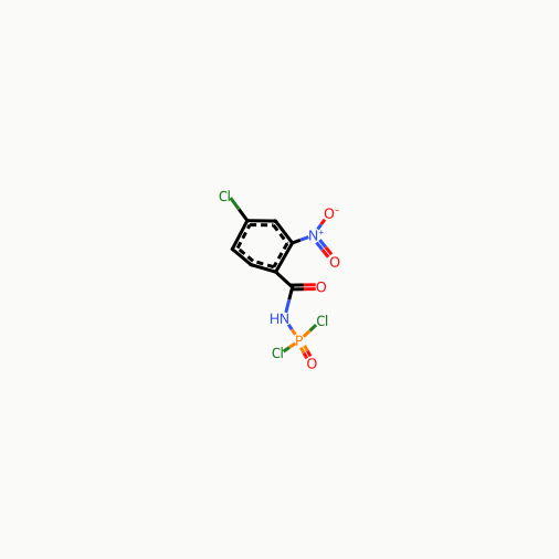 O=C(NP(=O)(Cl)Cl)c1ccc(Cl)cc1[N+](=O)[O-]